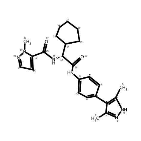 Cc1n[nH]c(C)c1-c1ccc(NC(=O)[C@H](NC(=O)c2ccnn2C)C2CCCCC2)cc1